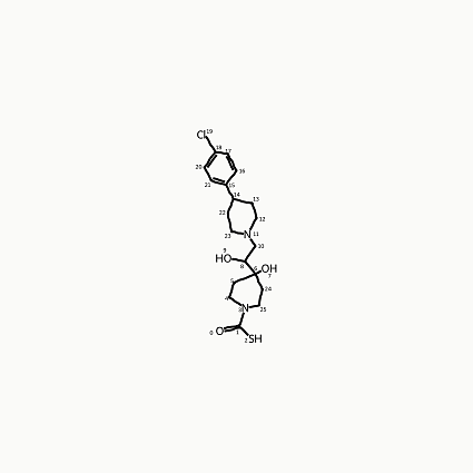 O=C(S)N1CCC(O)(C(O)CN2CCC(c3ccc(Cl)cc3)CC2)CC1